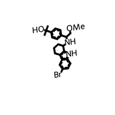 COCC(NC1CCCc2c1[nH]c1ccc(Br)cc21)c1ccc(C(C)(C)O)cc1